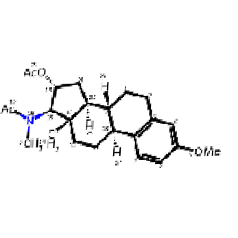 COc1ccc2c(c1)CC[C@@H]1[C@@H]2CC[C@]2(C)[C@@H](N(C)C(C)=O)[C@H](OC(C)=O)C[C@@H]12